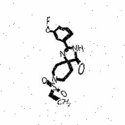 C=CS(=O)(=O)N1CCC2(CC1)N=C(c1cccc(OF)c1)NC2=O